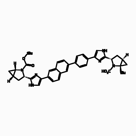 CC(C)(C)OC(=O)N1[C@H](c2nc(-c3ccc4cc(-c5ccc(-c6c[nH]c([C@@H]7C[C@H]8C[C@]8(C(C)(C)C)N7C(=O)O)n6)cc5)ccc4c3)c[nH]2)C[C@@H]2C[C@@H]21